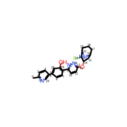 Cc1ccc(-c2ccc(-c3ccc(O[C@@H]4CC5CCCC(N5)[C@@H]4F)nn3)c(O)c2)cn1